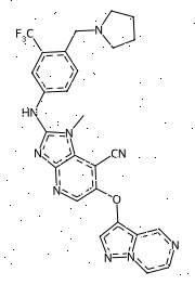 Cn1c(Nc2ccc(CN3CCCC3)c(C(F)(F)F)c2)nc2ncc(Oc3cnn4ccncc34)c(C#N)c21